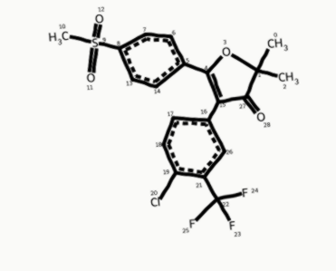 CC1(C)OC(c2ccc(S(C)(=O)=O)cc2)=C(c2ccc(Cl)c(C(F)(F)F)c2)C1=O